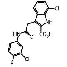 O=C(Cc1c(C(=O)O)[nH]c2c(Cl)cccc12)Nc1ccc(F)c(Cl)c1